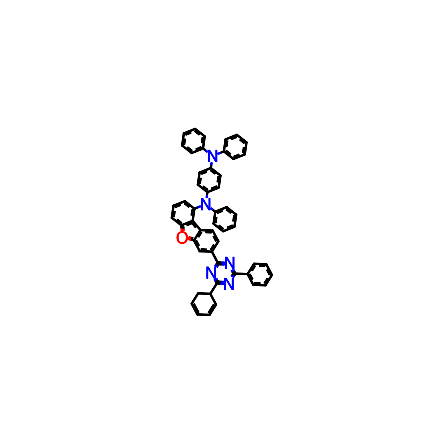 C1=CCC(c2nc(-c3ccccc3)nc(-c3ccc4c(c3)oc3cccc(N(c5ccccc5)c5ccc(N(c6ccccc6)c6ccccc6)cc5)c34)n2)C=C1